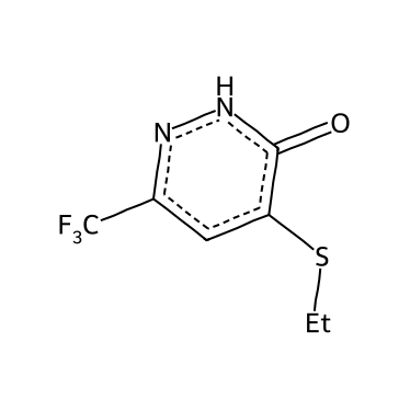 CCSc1cc(C(F)(F)F)n[nH]c1=O